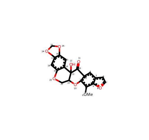 COc1c2c(cc3ccoc13)C(=O)C1(O)c3cc4c(cc3OCC1O2)OCO4